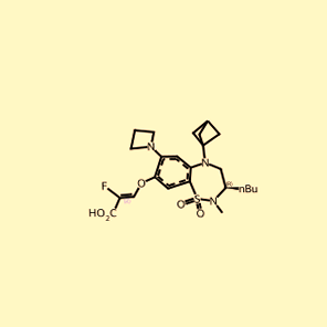 CCCC[C@@H]1CN(C23CC(C2)C3)c2cc(N3CCC3)c(O/C=C(\F)C(=O)O)cc2S(=O)(=O)N1C